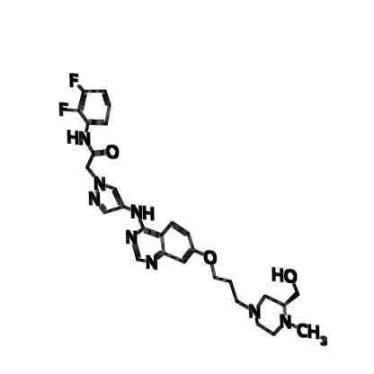 CN1CCN(CCCOc2ccc3c(Nc4cnn(CC(=O)Nc5cccc(F)c5F)c4)ncnc3c2)C[C@H]1CO